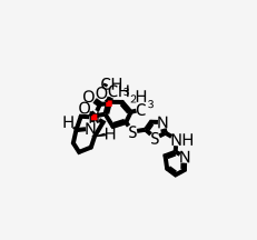 C=CC(=O)N1C[C@H]2CCC[C@@H](C1)N2C(=O)c1cc(Sc2cnc(Nc3ccccn3)s2)c(C)cc1OC